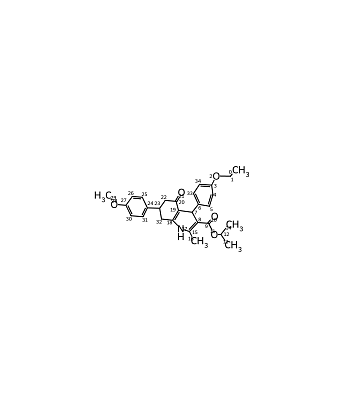 CCOc1ccc(C2C(C(=O)OC(C)C)=C(C)NC3=C2C(=O)CC(c2ccc(OC)cc2)C3)cc1